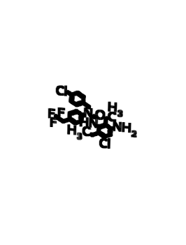 CCc1c(N)cc(Cl)c(CC)c1NC(=O)N(Cc1ccc(Cl)cc1)c1ccc(CC(F)(F)F)cc1